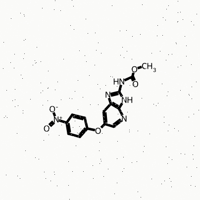 COC(=O)Nc1nc2cc(Oc3ccc([N+](=O)[O-])cc3)cnc2[nH]1